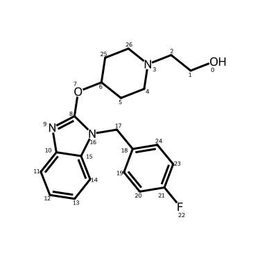 OCCN1CCC(Oc2nc3ccccc3n2Cc2ccc(F)cc2)CC1